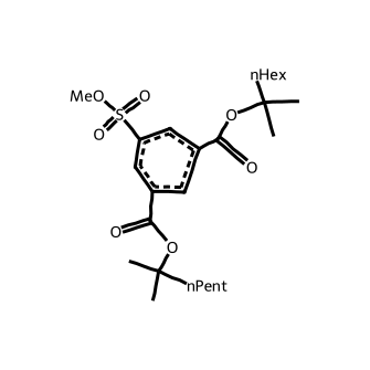 CCCCCCC(C)(C)OC(=O)c1cc(C(=O)OC(C)(C)CCCCC)cc(S(=O)(=O)OC)c1